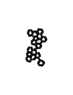 c1ccc(-c2ccc(N(c3ccc(-c4cccc(-c5ccccc5)c4-n4c5ccccc5c5c6ccccc6ccc54)cc3)c3ccccc3-c3cccc4ccccc34)c(-c3ccccc3)c2)cc1